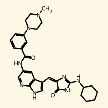 CN1CCN(c2cccc(C(=O)Nc3cnc4[nH]cc(C=C5N=C(NC6CCCCC6)NC5=O)c4c3)c2)CC1